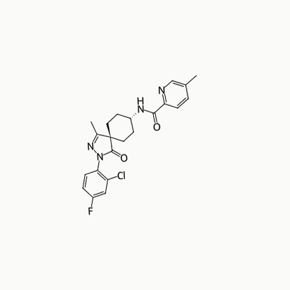 Cc1ccc(C(=O)N[C@H]2CC[C@@]3(CC2)C(=O)N(c2ccc(F)cc2Cl)N=C3C)nc1